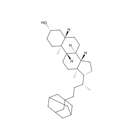 C[C@H](CCC12CC3CC(CC(C3)C1)C2)[C@H]1CC[C@H]2[C@@H]3CC[C@H]4C[C@@H](O)CC[C@]4(C)[C@H]3CC[C@]12C